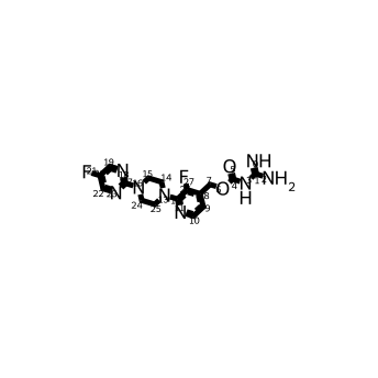 N=C(N)NC(=O)OCc1ccnc(N2CCN(c3ncc(F)cn3)CC2)c1F